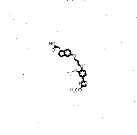 COc1csc(-c2ccc(OCCCOc3ccc4c(c3)CC[C@H]4CC(=O)O)c(OC)c2)n1